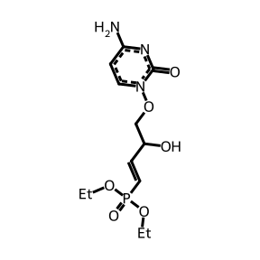 CCOP(=O)(C=CC(O)COn1ccc(N)nc1=O)OCC